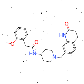 COc1ccccc1CC(=O)NC1CCN(Cc2ccc3c(c2)NC(=O)CC3)CC1